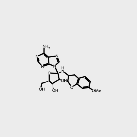 COc1ccc2c(c1)OCC(N[C@@]1(n3cnc4c(N)ncnc43)O[C@H](CO)[C@@H](O)[C@H]1O)C2